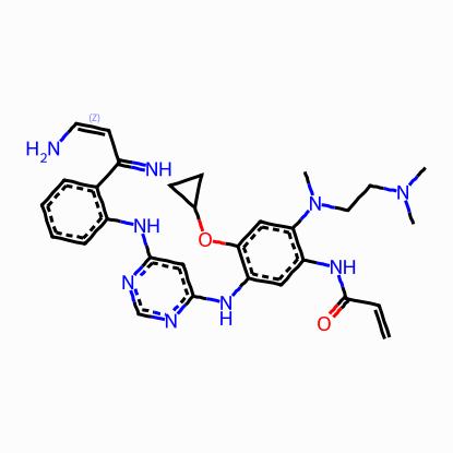 C=CC(=O)Nc1cc(Nc2cc(Nc3ccccc3C(=N)/C=C\N)ncn2)c(OC2CC2)cc1N(C)CCN(C)C